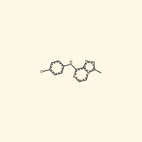 Cc1nnc2c(Nc3ccc(Cl)cc3)nccn12